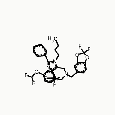 CCCCn1c(-c2ccccc2)nc(C(F)(F)F)c1CN(Cc1ccc(OC(F)F)cc1)Cc1ccc2c(c1)OC(F)(F)O2